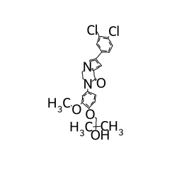 COc1cc(N2CCn3cc(-c4ccc(Cl)c(Cl)c4)cc3C2=O)ccc1OCC(C)(C)O